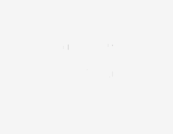 O=C(O)C1(Cl)C=CC=CC1Cl